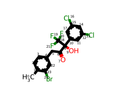 Cc1ccc(CC(=O)C(O)(c2cc(Cl)cc(Cl)c2)C(F)(F)F)cc1Br